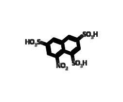 O=[N+]([O-])c1cc(S(=O)(=O)O)cc2cc(S(=O)(=O)O)cc(S(=O)(=O)O)c12